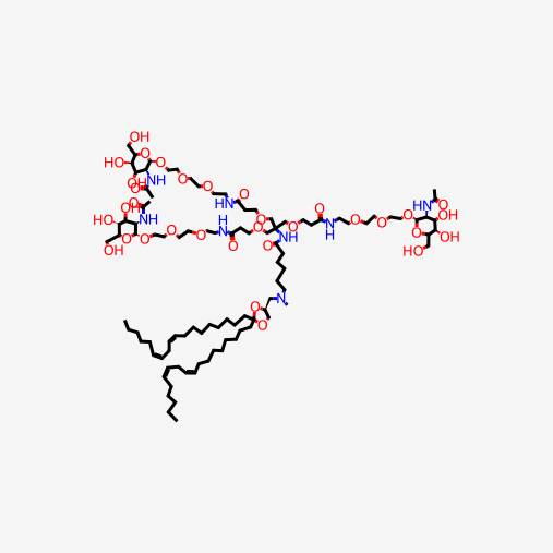 CCCCC/C=C\C/C=C\CCCCCCCCC1(CCCCCCCC/C=C\C/C=C\CCCCC)OC[C@H](CN(C)CCCCCC(=O)NC(COCCC(=O)NCCOCCOCCO[C@@H]2OC(CO)[C@H](O)C(O)[C@@H]2NC(C)=O)(COCCC(=O)NCCOCCOCCO[C@@H]2OC(CO)[C@H](O)C(O)[C@@H]2NC(C)=O)COCCC(=O)NCCOCCOCCO[C@@H]2OC(CO)[C@H](O)C(O)[C@@H]2NC(C)=O)O1